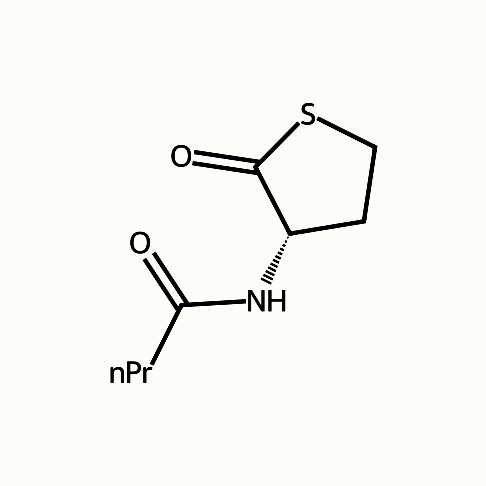 CCCC(=O)N[C@H]1CCSC1=O